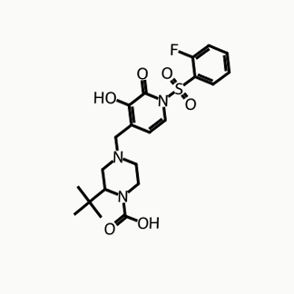 CC(C)(C)C1CN(Cc2ccn(S(=O)(=O)c3ccccc3F)c(=O)c2O)CCN1C(=O)O